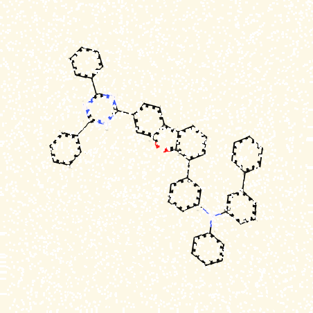 c1ccc(-c2cccc(N(c3ccccc3)c3cccc(-c4cccc5c4oc4cc(-c6nc(-c7ccccc7)nc(-c7ccccc7)n6)ccc45)c3)c2)cc1